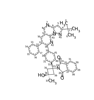 CC(C)(C)c1cc2ncc3cc(-c4ccccc4)c(-c4ccc([C@]5(N6C(=O)c7ccccc7C6=O)C[C@](C)(O)C5)cc4)nc3n2n1